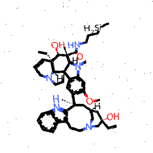 CC[C@]1(O)C[C@H]2CN(CCc3c([nH]c4ccccc34)[C@@](C)(c3cc4c(cc3OC)N(C)[C@H]3[C@@](C)(C(=O)NCCC[SiH2]C)[C@H](O)[C@]5(CC)C=CCN6CC[C@]43[C@@H]65)C2)C1